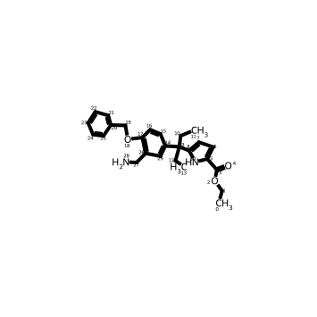 CCOC(=O)c1ccc(C(CC)(CC)c2ccc(OCc3ccccc3)c(CN)c2)[nH]1